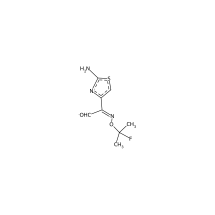 CC(C)(F)ON=C([C]=O)c1csc(N)n1